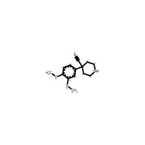 COc1ccc(C2(C#N)CCNCC2)cc1OC